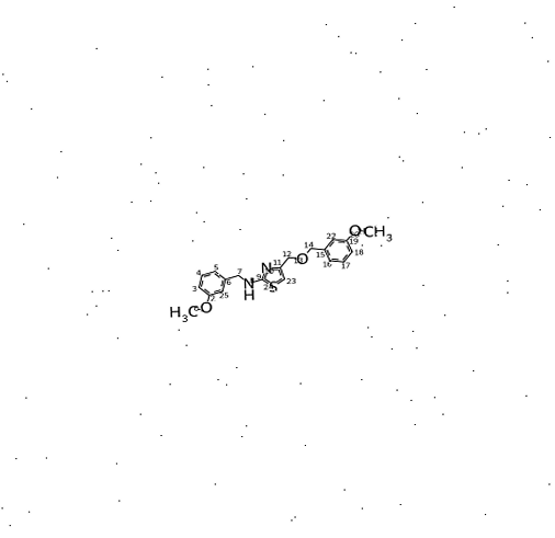 COc1cccc(CNc2nc(COCc3cccc(OC)c3)cs2)c1